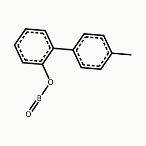 Cc1ccc(-c2ccccc2OB=O)cc1